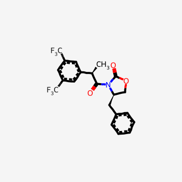 C[C@@H](C(=O)N1C(=O)OC[C@H]1Cc1ccccc1)c1cc(C(F)(F)F)cc(C(F)(F)F)c1